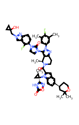 Cc1cc(-n2nc3c(c2-n2ccn(-c4ccc5nn(CC6(O)CC6)cc5c4F)c2=O)[C@H](C)N(C(=O)c2cc4cc([C@H]5CCOC(C)(C)C5)ccc4n2[C@@]2(c4noc(=O)[nH]4)C[C@@H]2C)CC3)cc(C)c1F